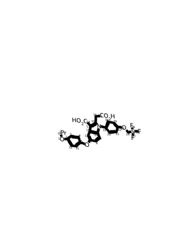 CC(C)Oc1ccc(Oc2ccc3c(c2)c(C(=O)O)c(CC(=O)O)n3-c2ccc(OCS(F)(F)F)cc2)cc1